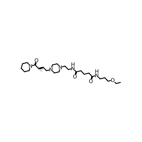 CCOCCCNC(=O)CCCC(=O)NCCN1CCN(C/C=C/C(=O)N2CCCCC2)CC1